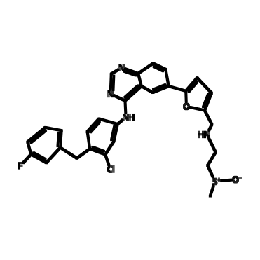 C[S+]([O-])CCNCc1ccc(-c2ccc3ncnc(Nc4ccc(Cc5cccc(F)c5)c(Cl)c4)c3c2)o1